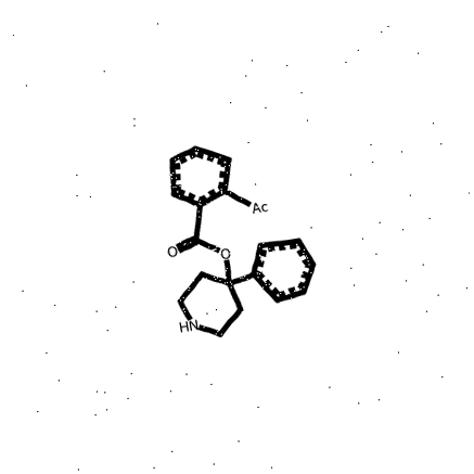 CC(=O)c1ccccc1C(=O)OC1(c2ccccc2)CCNCC1